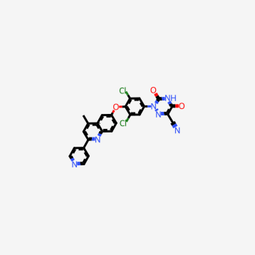 Cc1cc(-c2ccncc2)nc2ccc(Oc3c(Cl)cc(-n4nc(C#N)c(=O)[nH]c4=O)cc3Cl)cc12